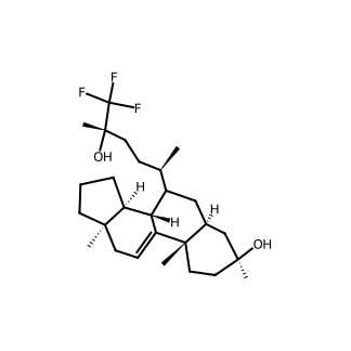 C[C@H](CC[C@](C)(O)C(F)(F)F)C1C[C@H]2C[C@@](C)(O)CC[C@]2(C)C2=CC[C@@]3(C)CCC[C@H]3[C@@H]21